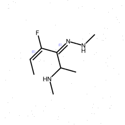 C/C=C(F)\C(=N\NC)C(C)NC